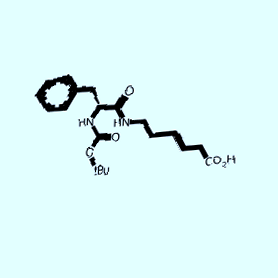 CC(C)(C)OC(=O)N[C@@H](Cc1ccccc1)C(=O)NCCCCCC(=O)O